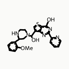 COc1ccccc1C1CN(C(O)c2csc3c(O)nc(-c4ccccn4)nc23)CCN1